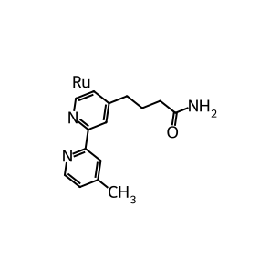 Cc1ccnc(-c2cc(CCCC(N)=O)ccn2)c1.[Ru]